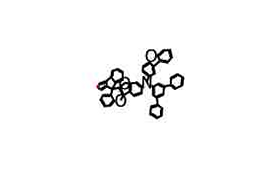 c1ccc(-c2cc(-c3ccccc3)cc(N(c3ccc4c5c(oc4c3)C3(c4ccccc4O5)c4ccccc4-c4ccccc43)c3ccc4oc5ccccc5c4c3)c2)cc1